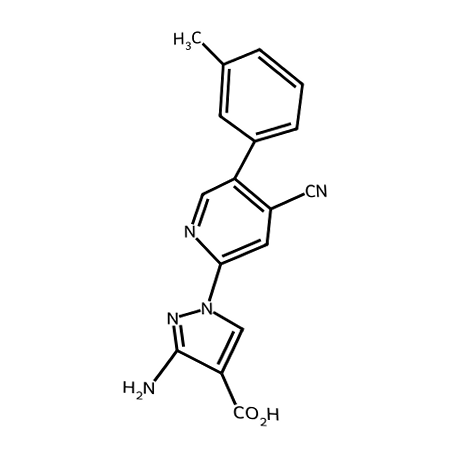 Cc1cccc(-c2cnc(-n3cc(C(=O)O)c(N)n3)cc2C#N)c1